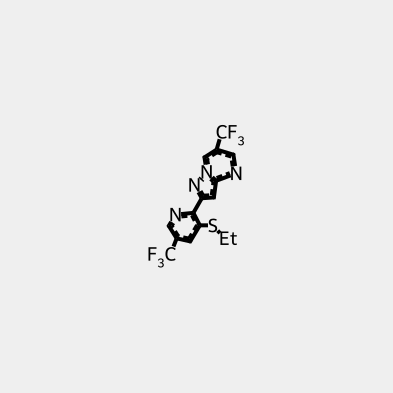 CCSc1cc(C(F)(F)F)cnc1-c1cc2ncc(C(F)(F)F)cn2n1